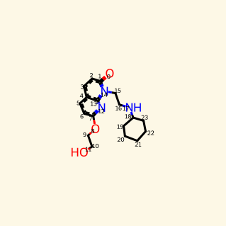 O=c1ccc2ccc(OCCO)nc2n1CCNC1CCCCC1